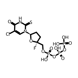 O=c1[nH]c(=S)n([C@H]2CC[C@@](F)(COP(=O)(O)OP(=O)(O)OP(=O)(O)O)O2)cc1Cl